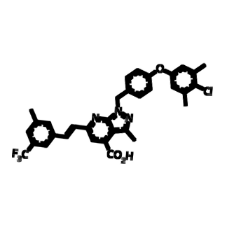 Cc1cc(/C=C/c2cc(C(=O)O)c3c(C)nn(Cc4ccc(Oc5cc(C)c(Cl)c(C)c5)cc4)c3n2)cc(C(F)(F)F)c1